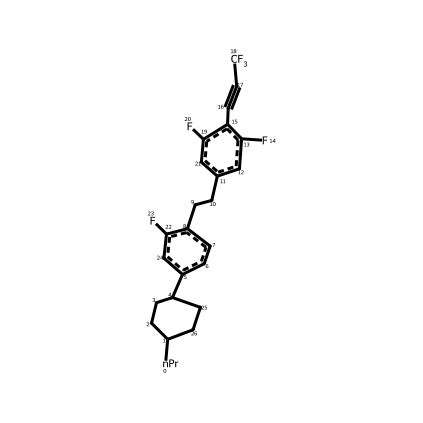 CCCC1CCC(c2ccc(CCc3cc(F)c(C#CC(F)(F)F)c(F)c3)c(F)c2)CC1